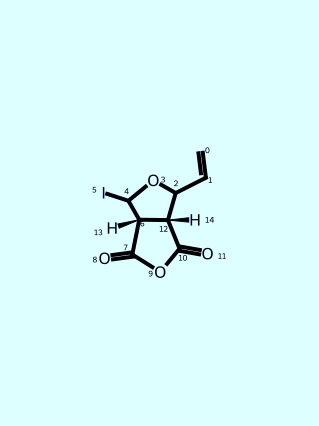 C=CC1OC(I)[C@H]2C(=O)OC(=O)[C@@H]12